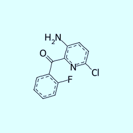 Nc1ccc(Cl)nc1C(=O)c1ccccc1F